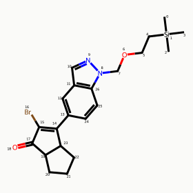 C[Si](C)(C)CCOCn1ncc2cc(C3=C(Br)C(=O)C4CCCC34)ccc21